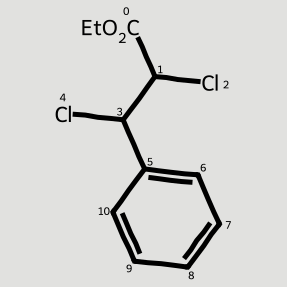 CCOC(=O)C(Cl)C(Cl)c1ccccc1